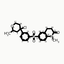 CC1CC(Cl)(c2cccc(S(=O)(=O)c3ccc4c(c3)CCC(=O)N4C)c2)CCO1